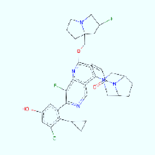 C=CC(=O)N1C2CCC1CN(c1cc(OCC34CCCN3CC(F)C4)nc3c(F)c(-c4cc(O)cc(Cl)c4C4CC4)ncc13)C2